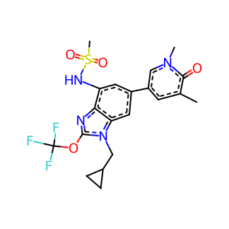 Cc1cc(-c2cc(NS(C)(=O)=O)c3nc(OC(F)(F)F)n(CC4CC4)c3c2)cn(C)c1=O